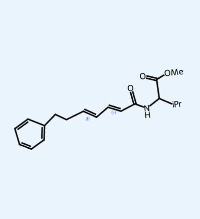 COC(=O)C(NC(=O)/C=C/C=C/CCc1ccccc1)C(C)C